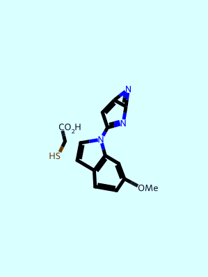 COc1ccc2ccn(-c3cc4nc-4n3)c2c1.O=C(O)CS